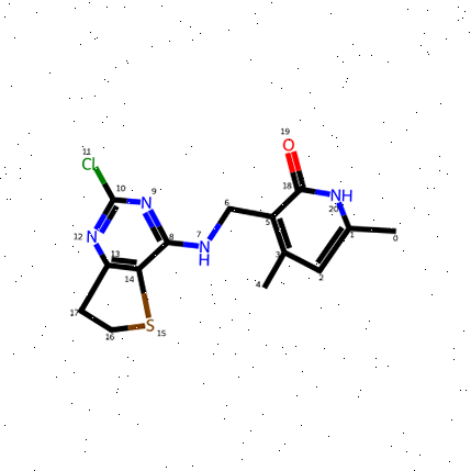 Cc1cc(C)c(CNc2nc(Cl)nc3c2SCC3)c(=O)[nH]1